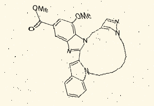 COC(=O)c1cc(OC)c2c(c1)nc1n2Cc2cnn(c2)CCCCCn2c-1cc1ccccc12